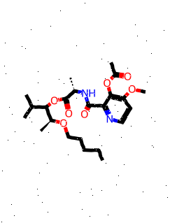 CCCCCO[C@@H](C)C(OC(=O)[C@H](C)NC(=O)c1nccc(OC)c1OC(C)=O)C(C)C